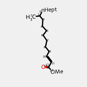 CCCCCCCC(C)CCCCCCCC=CC(=O)OC